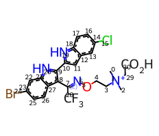 C[N+](C)(CCO/N=C(/c1c(-c2cc3cc(Cl)ccc3[nH]2)[nH]c2cc(Br)ccc12)C(F)(F)F)CC(=O)O